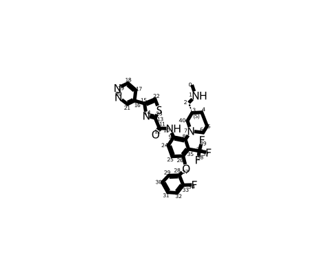 CNC[C@@H]1CCCN(c2c(NC(=O)c3nc(-c4ccnnc4)cs3)ccc(Oc3ccccc3F)c2C(F)(F)F)C1